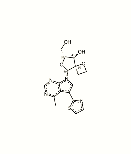 Cc1ncnc2c1c(-c1nccs1)cn2[C@@H]1O[C@H](CO)[C@@H](O)[C@]12CCO2